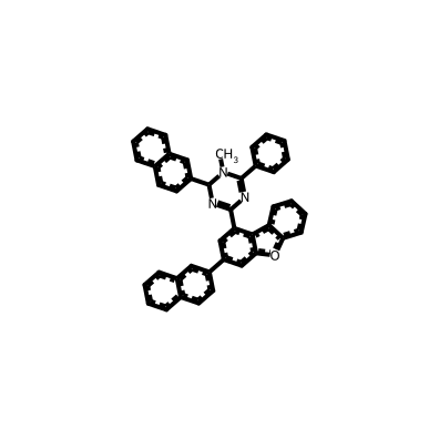 CN1C(c2ccccc2)=NC(c2cc(-c3ccc4ccccc4c3)cc3oc4ccccc4c23)=NC1c1ccc2ccccc2c1